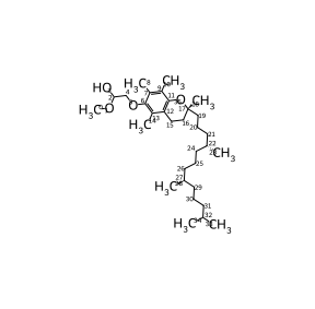 COC(O)COc1c(C)c(C)c2c(c1C)CC[C@@](C)(CCC[C@H](C)CCC[C@H](C)CCCC(C)C)O2